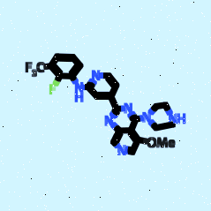 COc1cncc2nc(-c3ccnc(Nc4cccc(C(F)(F)F)c4F)c3)nc(N3CCNCC3)c12